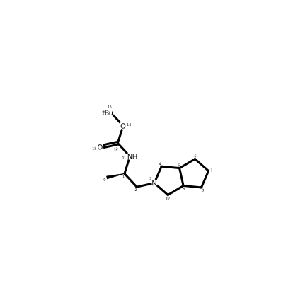 C[C@H](CN1CC2CCCC2C1)NC(=O)OC(C)(C)C